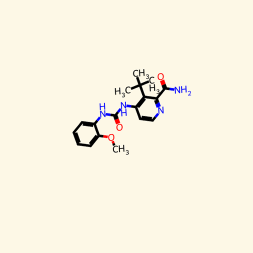 COc1ccccc1NC(=O)Nc1ccnc(C(N)=O)c1C(C)(C)C